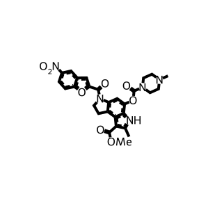 COC(=O)c1c(C)[nH]c2c(OC(=O)N3CCN(C)CC3)cc3c(c12)CCN3C(=O)c1cc2cc([N+](=O)[O-])ccc2o1